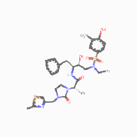 Cc1nc(CN2CCN([C@H](C(=O)N[C@@H](Cc3ccccc3)[C@@H](O)CN(CC(C)C)S(=O)(=O)c3ccc(O)c([N+](=O)[O-])c3)C(C)C)C2=O)cs1